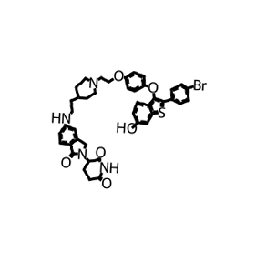 O=C1CCC(N2Cc3cc(NCCC4CCN(CCOc5ccc(Oc6c(-c7ccc(Br)cc7)sc7cc(O)ccc67)cc5)CC4)ccc3C2=O)C(=O)N1